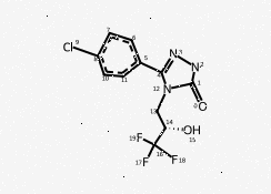 O=C1[N]N=C(c2ccc(Cl)cc2)N1C[C@H](O)C(F)(F)F